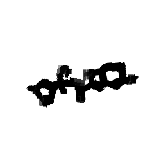 CC(C)[C@](C)(NC(=O)c1cc2cc(Br)ccc2[nH]1)c1cnn(C)c1